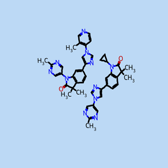 Cc1ncc(-n2cnc(-c3ccc4c(c3)N(C3CC3)C(=O)C4(C)C)c2)cn1.Cc1ncc(N2C(=O)C(C)(C)c3ccc(-c4cn(-c5ccncc5C)cn4)cc32)cn1